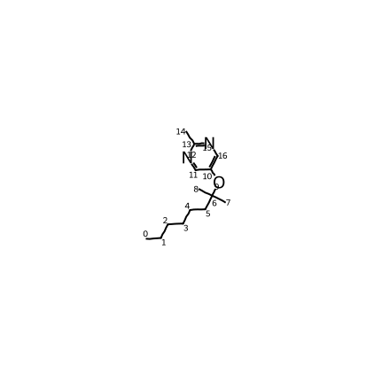 CCCCCCC(C)(C)Oc1cnc(C)nc1